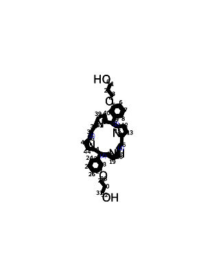 OCCCOc1cccc(/C2=C3\C=CC(=N3)/C=c3/cc/c([nH]3)=C(\c3cccc(OCCCO)c3)C3=N/C(=C\C4C5C=C2N54)C=C3)c1